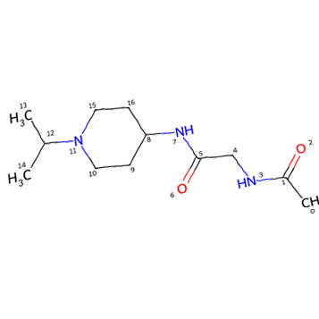 CC(=O)NCC(=O)NC1CCN(C(C)C)CC1